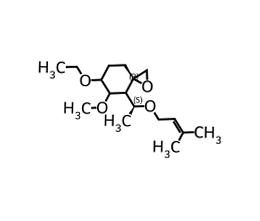 CCOC1CC[C@]2(CO2)C([C@H](C)OCC=C(C)C)C1OC